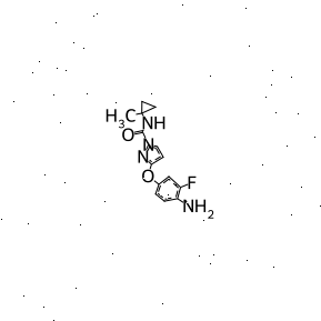 CC1(NC(=O)n2ccc(Oc3ccc(N)c(F)c3)n2)CC1